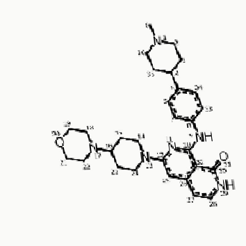 CN1CCC(c2ccc(Nc3nc(N4CCC(N5CCOCC5)CC4)cc4cc[nH]c(=O)c34)cc2)CC1